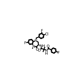 CN1C(=O)[C@H](NC(=O)C(C)(C)NC(=O)c2ccc(F)cc2)CN(Cc2ccc(Cl)c(F)c2)c2ccc(F)cc21